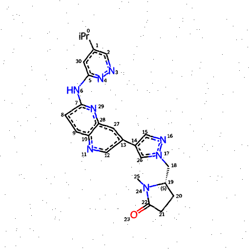 CC(C)c1cnnc(Nc2ccc3ncc(-c4cnn(C[C@@H]5CCC(=O)N5C)c4)cc3n2)c1